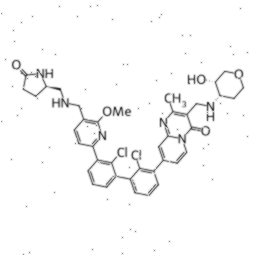 COc1nc(-c2cccc(-c3cccc(-c4ccn5c(=O)c(CN[C@H]6CCOC[C@H]6O)c(C)nc5c4)c3Cl)c2Cl)ccc1CNC[C@H]1CCC(=O)N1